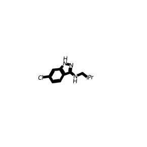 CC(C)CNc1n[nH]c2cc(Cl)ccc12